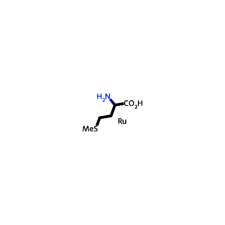 CSCCC(N)C(=O)O.[Ru]